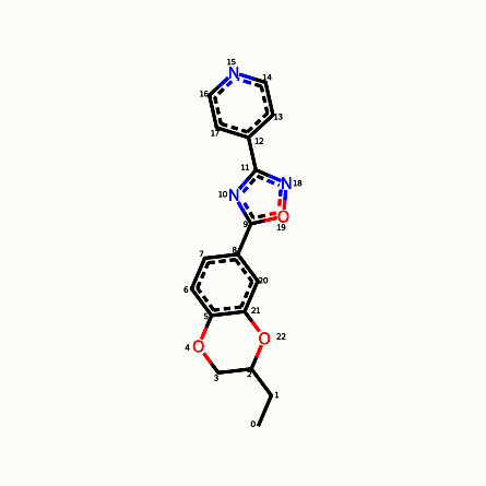 CCC1COc2ccc(-c3nc(-c4ccncc4)no3)cc2O1